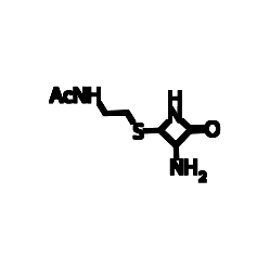 CC(=O)NCCSC1NC(=O)C1N